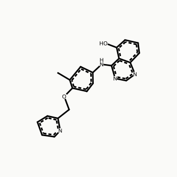 Cc1cc(Nc2ncnc3cccc(O)c23)ccc1OCc1ccccn1